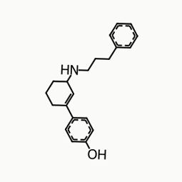 Oc1ccc(C2=CC(NCCCc3ccccc3)CCC2)cc1